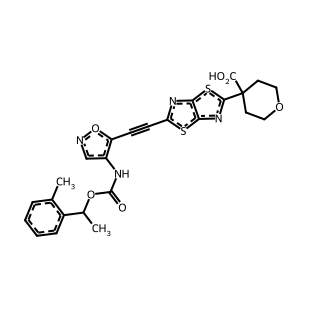 Cc1ccccc1C(C)OC(=O)Nc1cnoc1C#Cc1nc2sc(C3(C(=O)O)CCOCC3)nc2s1